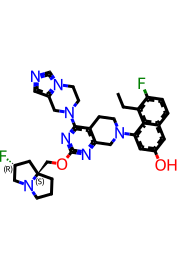 CCc1c(F)ccc2cc(O)cc(N3CCc4c(nc(OC[C@@]56CCCN5C[C@H](F)C6)nc4N4CCn5cncc5C4)C3)c12